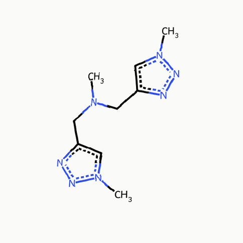 CN(Cc1cn(C)nn1)Cc1cn(C)nn1